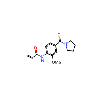 C=CC(=O)Nc1ccc(C(=O)N2CCCC2)cc1OC